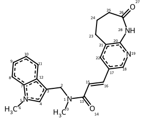 CN(Cc1cn(C)c2ccccc12)C(=O)C=Cc1cnc2c(c1)CCCC(=O)N2